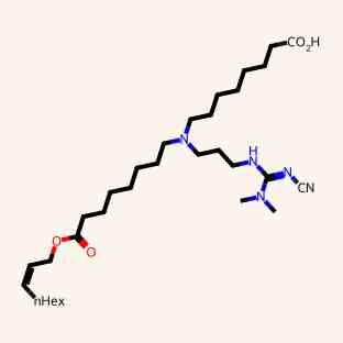 CCCCCC/C=C\COC(=O)CCCCCCCN(CCCCCCCC(=O)O)CCCN/C(=N/C#N)N(C)C